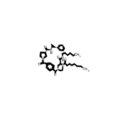 CCCCCCCC(=O)N1CCN(C(=O)c2ccc(C(=O)N3CC[C@H](C(=O)N[C@H]4C[C@@H]4c4ccccc4)C3)cc2)CC1C(=O)NCCCCCC